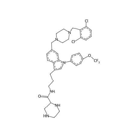 O=C(NCCCc1cn(-c2ccc(OC(F)(F)F)cc2)c2cc(CN3CCN(Cc4c(Cl)cccc4Cl)CC3)ccc12)C1CNCCN1